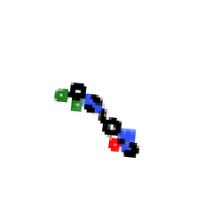 O=C(NC1CCC(CCN2CCN(c3cccc(Cl)c3Cl)CC2)CC1)N1CCCC1